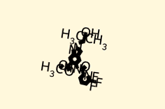 COC(=O)c1cc2nn(CCC(C)(C)O)cc2cc1NC(=O)c1cccc(C(F)(F)F)n1